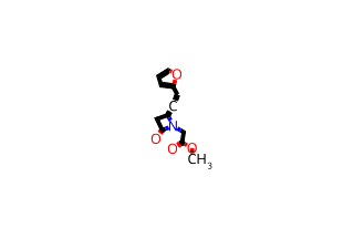 COC(=O)CN1C(=O)CC1=C=Cc1ccco1